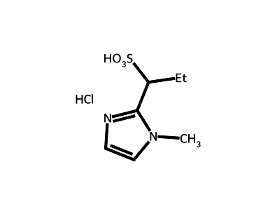 CCC(c1nccn1C)S(=O)(=O)O.Cl